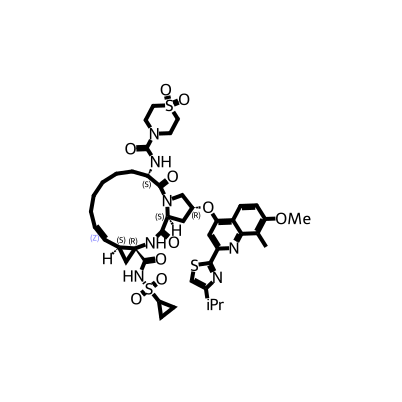 COc1ccc2c(O[C@@H]3C[C@H]4C(=O)N[C@]5(C(=O)NS(=O)(=O)C6CC6)C[C@H]5/C=C\CCCCC[C@H](NC(=O)N5CCS(=O)(=O)CC5)C(=O)N4C3)cc(-c3nc(C(C)C)cs3)nc2c1C